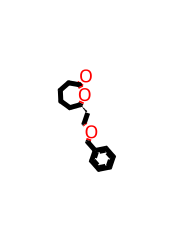 O=C1CCCC[C@@H](CCOCc2ccccc2)O1